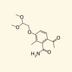 COC(COc1ccc(C(C)=O)c(C(N)=O)c1C)OC